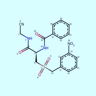 N#CCNC(=O)[C@H](CS(=O)(=O)Cc1cccc([N+](=O)[O-])c1)NC(=O)c1ccccc1